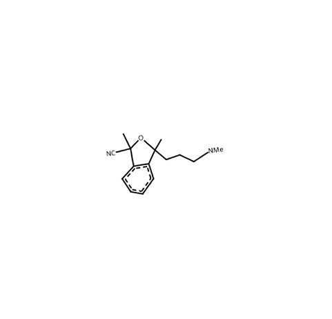 CNCCCC1(C)OC(C)(C#N)c2ccccc21